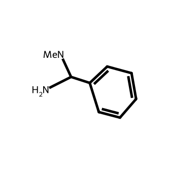 [CH2]NC(N)c1ccccc1